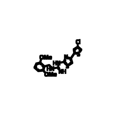 COc1cccc(OC)c1CNC(=N)Nc1nc(-c2cc(Cl)cs2)cs1